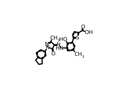 CC1=NN(c2ccc3c(c2)CCC3)C(=O)/C1=N\Nc1cc(C)cc(-c2ccc(C(=O)O)s2)c1O